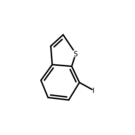 Ic1cccc2ccsc12